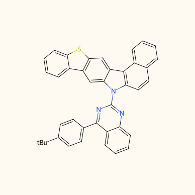 CC(C)(C)c1ccc(-c2nc(-n3c4cc5c(cc4c4c6ccccc6ccc43)sc3ccccc35)nc3ccccc23)cc1